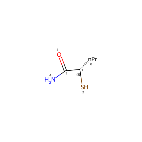 CCC[C@H](S)C(N)=O